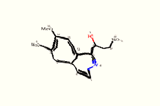 COc1cc2ccnc(C(O)C[N+](=O)[O-])c2cc1OC